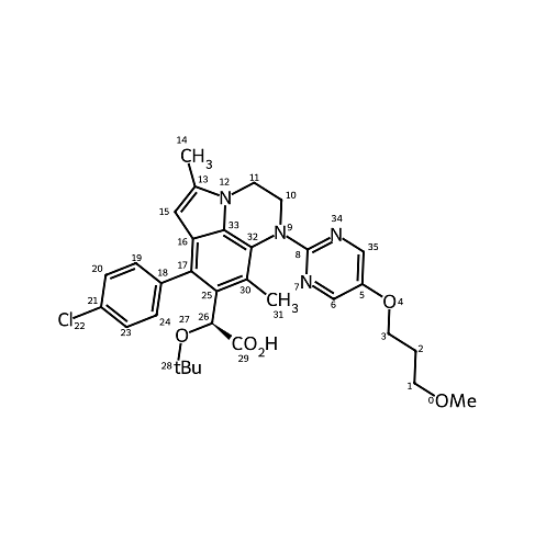 COCCCOc1cnc(N2CCn3c(C)cc4c(-c5ccc(Cl)cc5)c([C@H](OC(C)(C)C)C(=O)O)c(C)c2c43)nc1